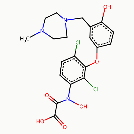 CN1CCN(Cc2cc(Oc3c(Cl)ccc(N(O)C(=O)C(=O)O)c3Cl)ccc2O)CC1